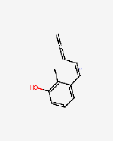 C=C=C/C=C\c1cccc(O)c1C